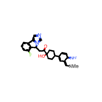 CN/C=C1/C=C(C2CCC(O)(C(=O)CC3c4c(F)cccc4-c4cncn43)CC2)C=CC1=N